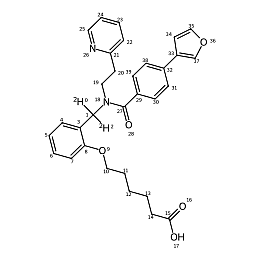 [2H]C([2H])(c1ccccc1OCCCCCC(=O)O)N(CCc1ccccn1)C(=O)c1ccc(-c2ccoc2)cc1